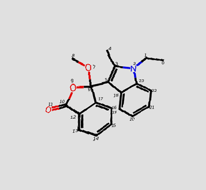 CCn1c(C)c(C2(OC)OC(=O)c3ccccc32)c2ccccc21